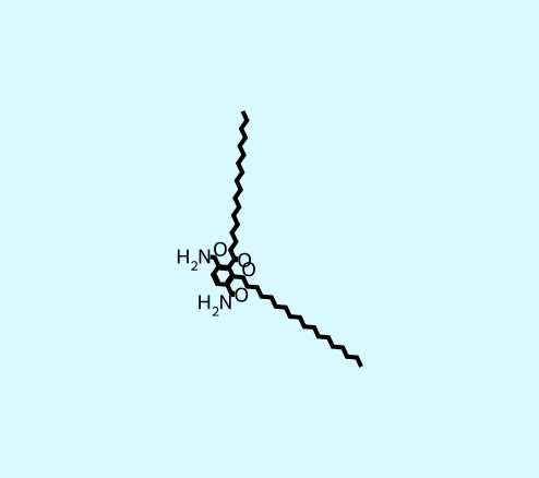 CCCCCCCCCCCCCCCCCC(=O)c1c(C(N)=O)ccc(C(N)=O)c1C(=O)CCCCCCCCCCCCCCCCC